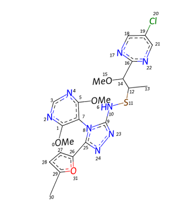 COc1ncnc(OC)c1-n1c(NSC(C)C(OC)c2ncc(Cl)cn2)nnc1-c1ccc(C)o1